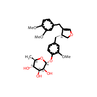 COc1ccc(CC2=COC[C@@H]2Cc2ccc(O[C@H]3O[C@H](C)[C@@H](O)[C@H](O)[C@@H]3O)c(OC)c2)cc1OC